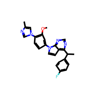 COc1cc(-n2ccc3c(C(C)c4ccc(F)cc4)ncnc32)ccc1-n1cnc(C)c1